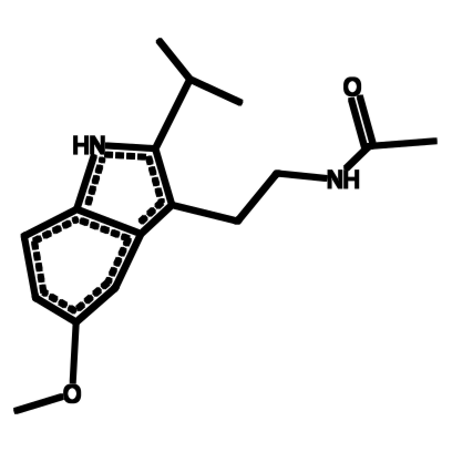 COc1ccc2[nH]c(C(C)C)c(CCNC(C)=O)c2c1